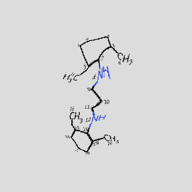 CC1CCCC(C)C1NCCCNC1C(C)CCCC1C